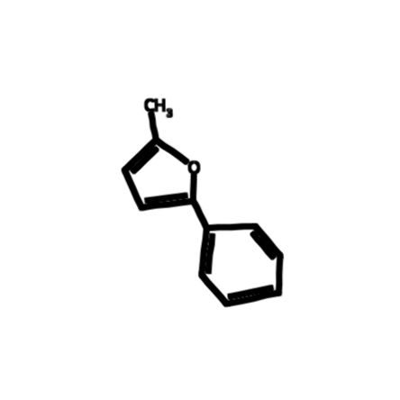 Cc1ccc(-c2ccccc2)o1